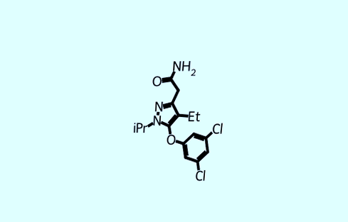 CCc1c(CC(N)=O)nn(C(C)C)c1Oc1cc(Cl)cc(Cl)c1